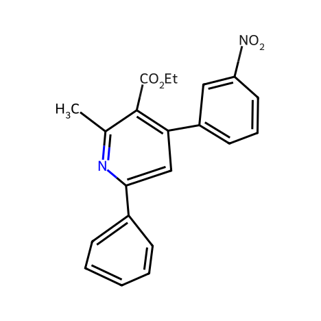 CCOC(=O)c1c(-c2cccc([N+](=O)[O-])c2)cc(-c2ccccc2)nc1C